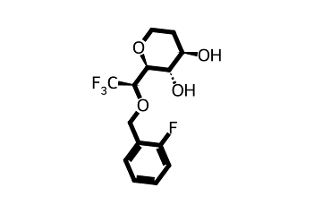 O[C@@H]1[C@@H]([C@@H](OCc2ccccc2F)C(F)(F)F)OCC[C@H]1O